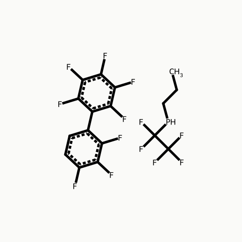 CCCPC(F)(F)C(F)(F)F.Fc1ccc(-c2c(F)c(F)c(F)c(F)c2F)c(F)c1F